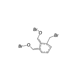 BrCc1cccc(=COBr)c1=COBr